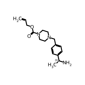 C=CCOC(=O)N1CCN(Cc2ccc([C@H](C)N)cc2)CC1